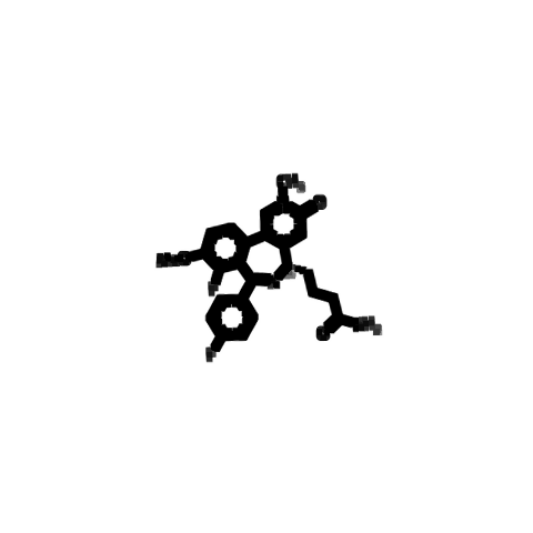 COc1ccc2c(c1F)C(c1ccc(F)cc1)=N[C@@H](CCCC(N)=O)c1cc(=O)n(C)cc1-2